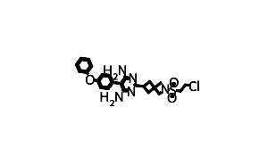 Nc1nc(C2CC3(C2)CN(S(=O)(=O)CCCl)C3)nc(N)c1-c1ccc(Oc2ccccc2)cc1